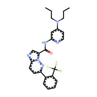 CCCN(CCC)c1ccnc(NC(=O)c2cnc3ccc(-c4ccccc4C(F)(F)F)nn23)c1